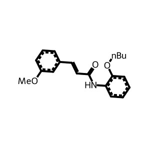 CCCCOc1ccccc1NC(=O)/C=C/c1cccc(OC)c1